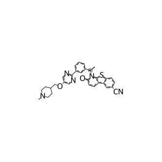 C[C@H](c1cccc(-c2ncc(OCC3CCN(C)CC3)cn2)c1)n1c(=O)ccc2c3cc(C#N)ccc3sc21